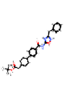 CC(C)(C)OC(=O)CC1CCC(c2ccc(C(=O)Nc3nc(Cc4ccccc4)no3)cc2)CC1